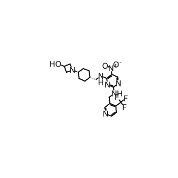 O=[N+]([O-])c1cnc(NCc2cnccc2C(F)(F)F)nc1NC[C@H]1CC[C@H](N2CC(O)C2)CC1